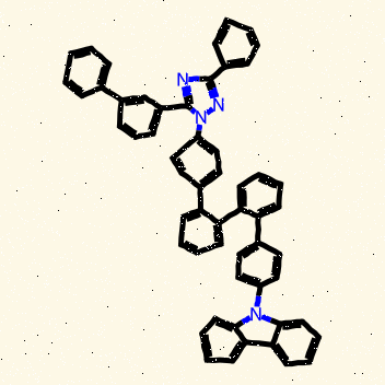 c1ccc(-c2cccc(-c3nc(-c4ccccc4)nn3-c3ccc(-c4ccccc4-c4ccccc4-c4ccc(-n5c6ccccc6c6ccccc65)cc4)cc3)c2)cc1